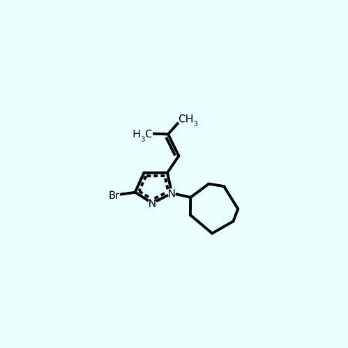 CC(C)=Cc1cc(Br)nn1C1CCCCCC1